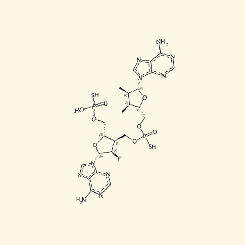 C[C@@H]1[C@H](C)[C@@H](COP(=O)(S)OC[C@H]2[C@@H](F)[C@H](n3cnc4c(N)ncnc43)O[C@@H]2COP(=O)(O)S)O[C@H]1n1cnc2c(N)ncnc21